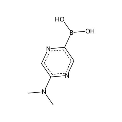 CN(C)c1cnc(B(O)O)cn1